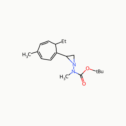 CCC1C=CC(C)=CC=C1C1CN1N(C)C(=O)OC(C)(C)C